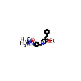 CCOCC1(CCc2ccccc2)CCN(Cc2ccc(NC(=O)N(C)C)cc2)CC1